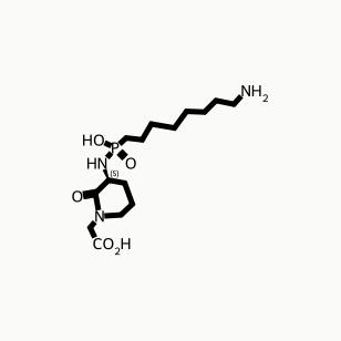 NCCCCCCCCP(=O)(O)N[C@H]1CCCN(CC(=O)O)C1=O